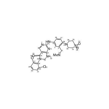 CNCc1cc(Nc2ncc3c(n2)N(C)CN(c2c(Cl)cccc2Cl)C3=O)ccc1N1CCS(=O)(=O)CC1